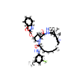 O=C1N[C@]2(C(=O)O)C[C@H]2/C=C\CCCCC[C@H](Nc2cc(F)cc(C(F)(F)F)c2)C(=O)N2C[C@H](Oc3nc4ccccc4o3)C[C@@H]12